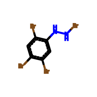 BrNNc1cc(Br)c(Br)cc1Br